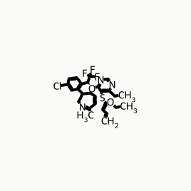 C=C/C=C(\OCC)Sc1c(CC)ncnc1O[C@H](c1ccc(Cl)cc1C1CC=CC(C)=NC1)C(F)(F)F